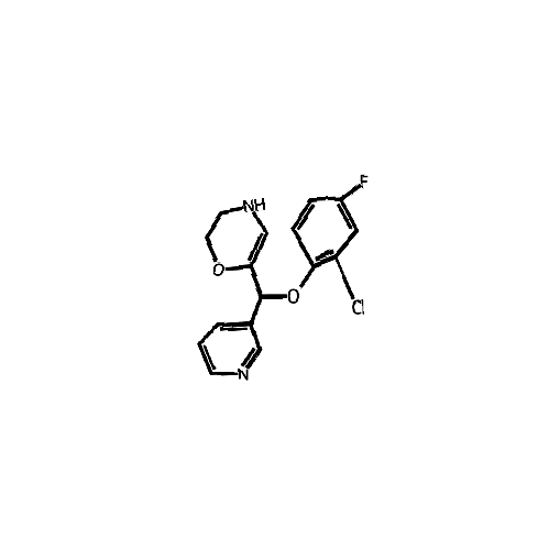 Fc1ccc(OC(C2=CNCCO2)c2cccnc2)c(Cl)c1